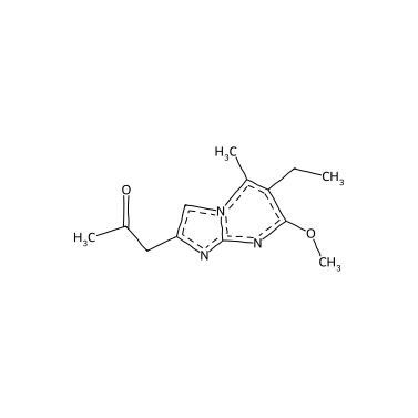 CCc1c(OC)nc2nc(CC(C)=O)cn2c1C